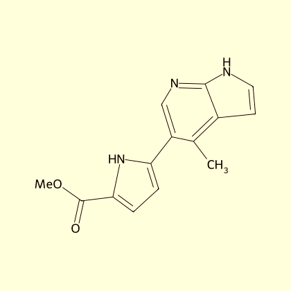 COC(=O)c1ccc(-c2cnc3[nH]ccc3c2C)[nH]1